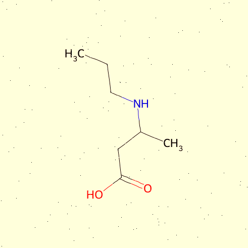 CCCNC(C)CC(=O)O